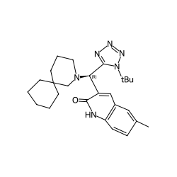 Cc1ccc2[nH]c(=O)c([C@H](c3nnnn3C(C)(C)C)N3CCCC4(CCCCC4)C3)cc2c1